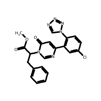 COC(=O)C(Cc1ccccc1)n1cnc(-c2cc(Cl)ccc2-n2cnnn2)cc1=O